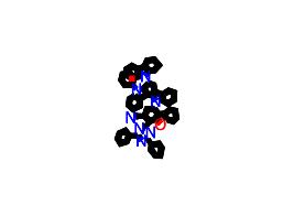 N#Cc1cc(-n2c3ccccc3c3cc(-n4c5ccccc5c5ccccc54)c4c(c5ccccc5n4-c4ccccc4)c32)c2c(oc3ccccc32)c1-c1nc(-c2ccccc2)nc(-c2ccccc2)n1